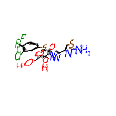 CO[C@@H]1[C@@H](n2cc(-c3csc(N)n3)nn2)[C@@H](O)[C@@H](CO)O[C@@H]1Sc1ccc(C(F)(F)F)c(Cl)c1